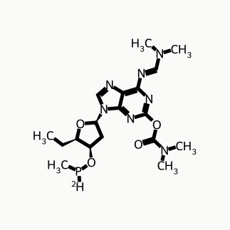 [2H]P(C)O[C@@H]1C[C@H](n2cnc3c(N=CN(C)C)nc(OC(=O)N(C)C)nc32)O[C@@H]1CC